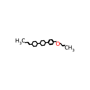 CC=CCOCc1ccc(C2CCC(C3CCC(C=CCC)CC3)CC2)cc1